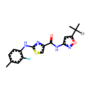 CCC(C)(C)c1cc(NC(=O)c2csc(Nc3ccc(C)cc3F)n2)no1